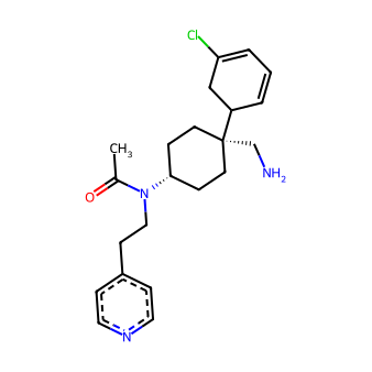 CC(=O)N(CCc1ccncc1)[C@H]1CC[C@](CN)(C2C=CC=C(Cl)C2)CC1